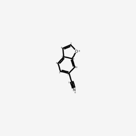 N#Cc1ccc2c[c]oc2c1